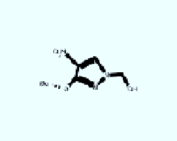 CC[C@@H](C)Oc1nn(CO)cc1[N+](=O)[O-]